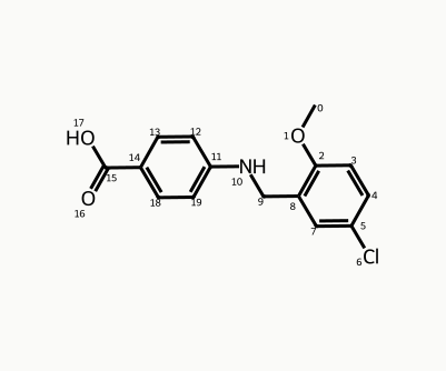 COc1ccc(Cl)cc1CNc1ccc(C(=O)O)cc1